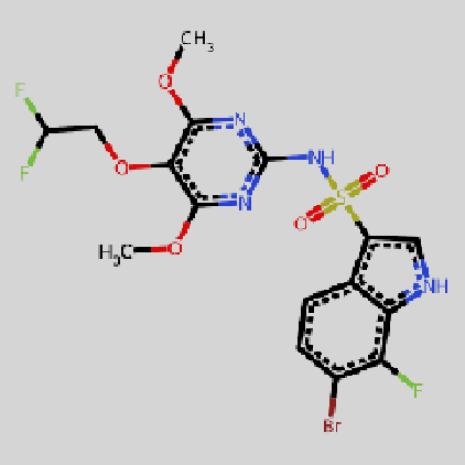 COc1nc(NS(=O)(=O)c2c[nH]c3c(F)c(Br)ccc23)nc(OC)c1OCC(F)F